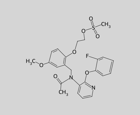 COc1ccc(OCCOS(C)(=O)=O)c(CN(C(C)=O)c2cccnc2Oc2ccccc2F)c1